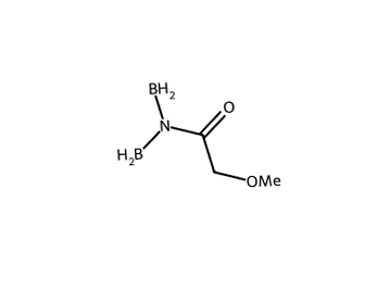 BN(B)C(=O)COC